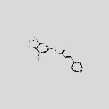 O=C(C=Cc1ccccc1)ONc1cc([N+](=O)[O-])c2[nH]nnc2n1